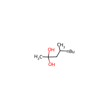 CCCCC(C)CC(C)(O)O